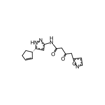 O=C(CC(=O)Nc1cc([C@@H]2C=CCC2)[nH]n1)Cc1ccno1